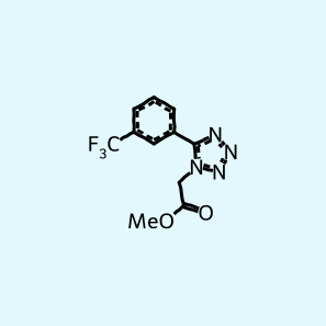 COC(=O)Cn1nnnc1-c1cccc(C(F)(F)F)c1